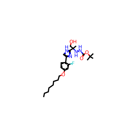 CCCCCCCCOc1ccc(-c2c[nH]c(C(C)(CO)NNC(=O)OC(C)(C)C)n2)c(F)c1